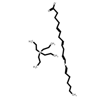 CCCCCC=CCC=CCC=CCC=CCCCC(=O)[O-].CCC[N+](CCC)(CCC)CCC